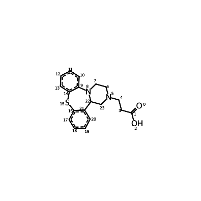 O=C(O)CCN1CCN2c3ccccc3Sc3ccccc3C2C1